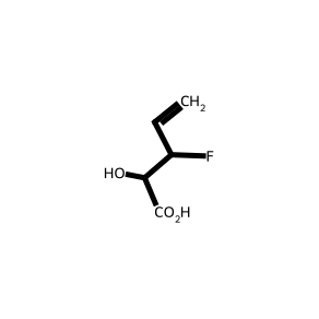 C=CC(F)C(O)C(=O)O